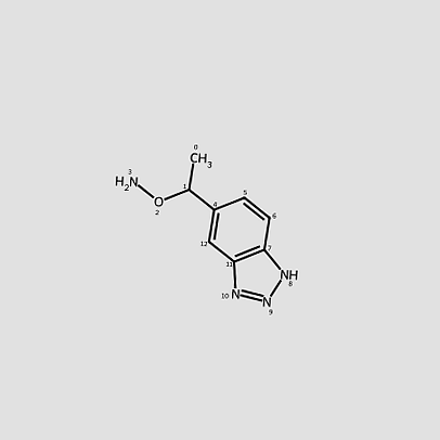 CC(ON)c1ccc2[nH]nnc2c1